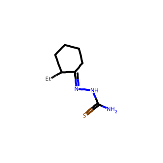 CCC1CCCC/C1=N\NC(N)=S